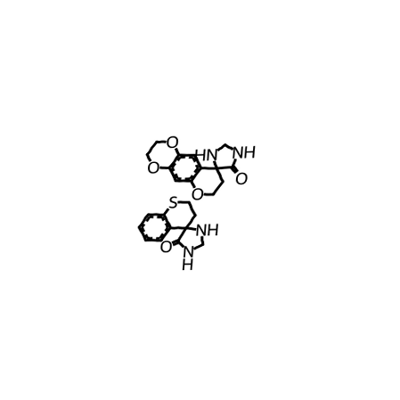 O=C1NCNC12CCOc1cc3c(cc12)OCCO3.O=C1NCNC12CCSc1ccccc12